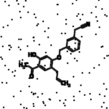 C=CCc1cc(C(C)=O)c(O)cc1OCc1cccc(CC#N)c1